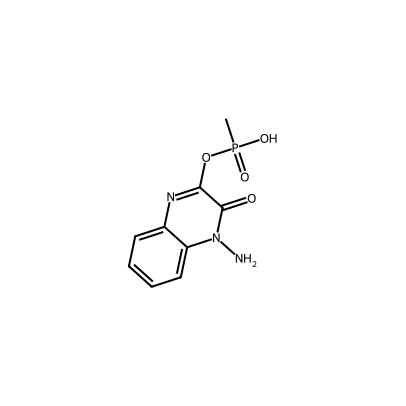 CP(=O)(O)Oc1nc2ccccc2n(N)c1=O